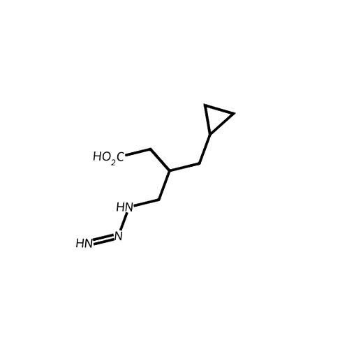 N=NNCC(CC(=O)O)CC1CC1